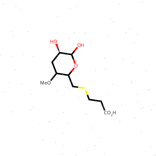 COC1C[C@@H](O)C(O)OC1CSCCC(=O)O